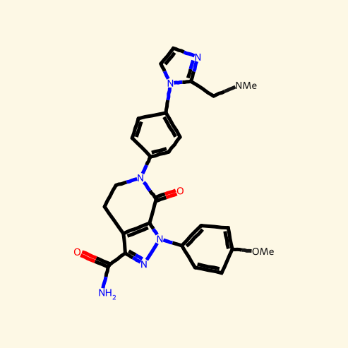 CNCc1nccn1-c1ccc(N2CCc3c(C(N)=O)nn(-c4ccc(OC)cc4)c3C2=O)cc1